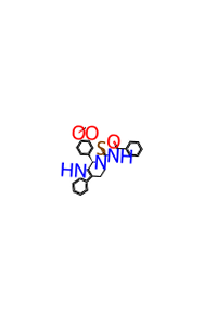 O=C(NC(=S)N1CCc2c([nH]c3ccccc23)[C@H]1c1ccc2c(c1)OCO2)c1ccccc1